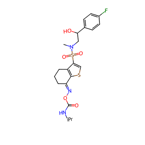 CC(C)NC(=O)ON=C1CCCc2c(S(=O)(=O)N(C)CC(O)c3ccc(F)cc3)csc21